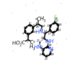 CC(C(=O)O)c1cccc([C@@H](C)CN[C@H](c2cccc(F)c2)[C@H]2CNc3cccnc3N2)c1